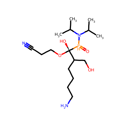 CC(C)N(C(C)C)[PH](=O)[C@@](O)(OCCC#N)C(CO)CCCCN